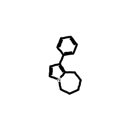 c1ccc(-c2ccn3c2CCCCC3)cc1